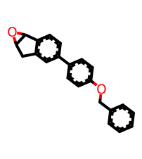 c1ccc(COc2ccc(-c3ccc4c(c3)CC3OC43)cc2)cc1